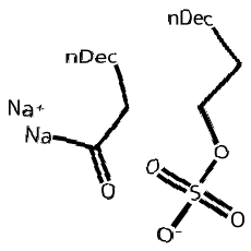 CCCCCCCCCCCCOS(=O)(=O)[O-].CCCCCCCCCCC[C](=O)[Na].[Na+]